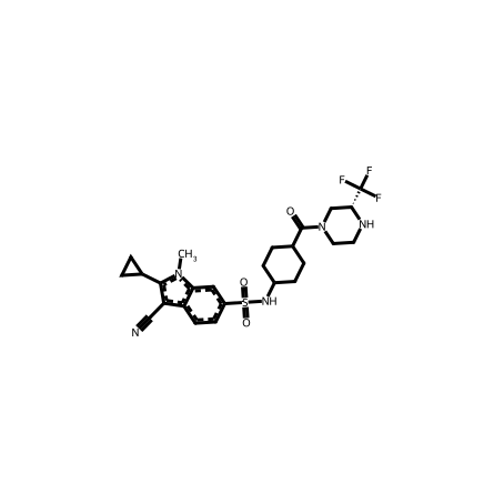 Cn1c(C2CC2)c(C#N)c2ccc(S(=O)(=O)NC3CCC(C(=O)N4CCN[C@@H](C(F)(F)F)C4)CC3)cc21